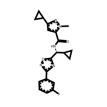 Cn1nc(C2CC2)cc1C(=O)N[C@@H](c1nc(-c2cccc(F)c2)no1)C1CC1